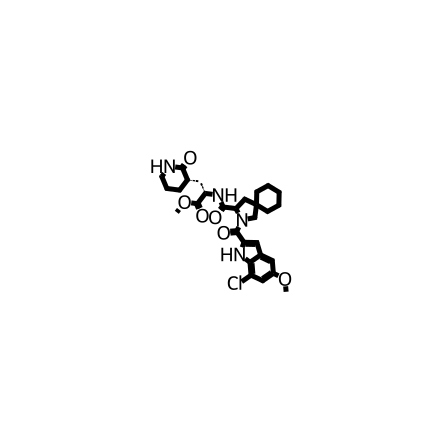 COC(=O)[C@H](C[C@@H]1CCCNC1=O)NC(=O)C1CC2(CCCCC2)CN1C(=O)c1cc2cc(OC)cc(Cl)c2[nH]1